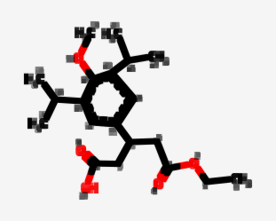 CCOC(=O)CC(CC(=O)O)c1cc(C(C)C)c(OC)c(C(C)C)c1